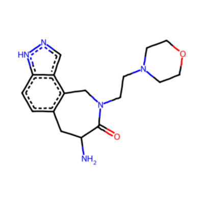 NC1Cc2ccc3[nH]ncc3c2CN(CCN2CCOCC2)C1=O